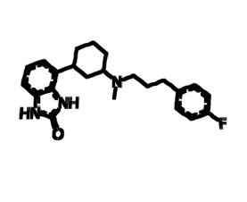 CN(CCCc1ccc(F)cc1)C1CCCC(c2cccc3[nH]c(=O)[nH]c23)C1